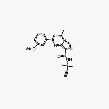 C#CC(C)(C)NC(=O)c1ncn2c(C)cc(-c3cccc(OC)c3)nc12